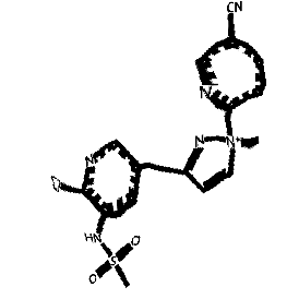 C[N+]1(c2ccc(C#N)cn2)C=CC(c2cnc(Cl)c(NS(C)(=O)=O)c2)=N1